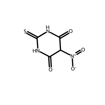 O=C1NC(=S)NC(=O)C1[N+](=O)[O-]